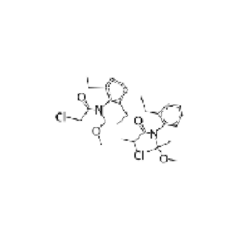 CCc1cccc(CC)c1N(COC)C(=O)CCl.CCc1ccccc1N(C(=O)C(C)Cl)C(C)(C)OC